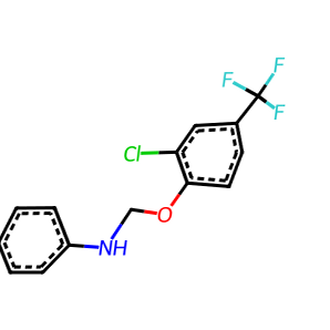 FC(F)(F)c1ccc(OCNc2ccccc2)c(Cl)c1